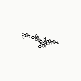 CN1C(=O)[C@H](c2ccc(OCc3ccc(Cl)c(Cl)c3)cc2)Oc2cc3c(cc21)CC(C(=O)NC(Cc1ccc(-c2ccc(C#N)cc2)cc1)C(=O)O)N([C@H](C(=O)O)c1ccccc1)C3